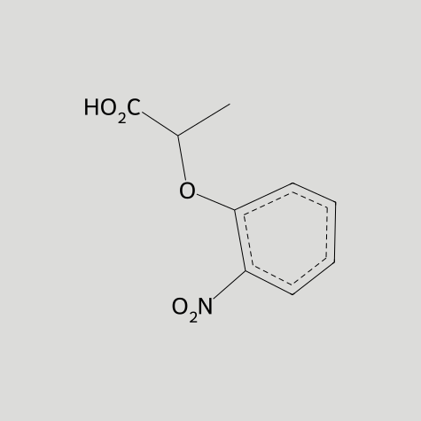 CC(Oc1ccccc1[N+](=O)[O-])C(=O)O